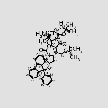 C=CCOC(=O)N1C[C@@H](SC(c2ccccc2)(c2ccccc2)c2ccccc2)C[C@@H]1C(CO[SiH](C)C)C1C[C@@H](C(C)(C)C)N(C(=O)OC(C)(C)C)C1=O